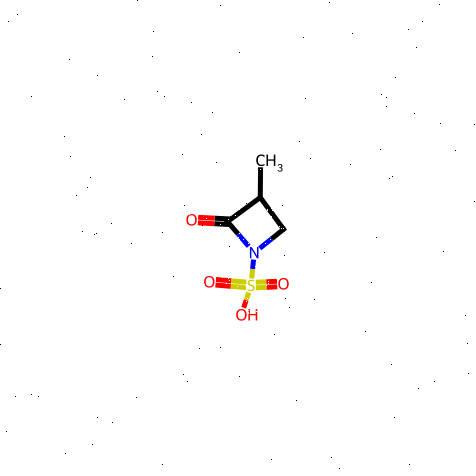 CC1CN(S(=O)(=O)O)C1=O